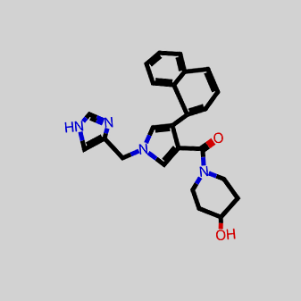 O=C(c1cn(Cc2c[nH]cn2)cc1-c1cccc2ccccc12)N1CCC(O)CC1